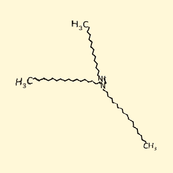 CCCCCCCCCCCCCCCCCCCn1cc[n+](CCCCCCCCCCCCCCC)c1CCCCCCCCCCCCCCCCC